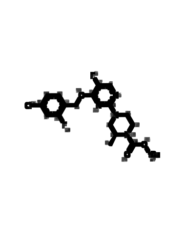 C[C@H]1CN(c2ncc(F)c(OCc3ccc(Cl)cc3F)n2)CCN1C(=O)OC(C)(C)C